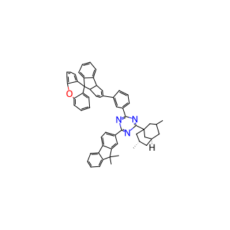 CC1C[C@H]2C[C@H](C)CC(c3nc(-c4cccc(C5=CC6c7ccccc7C7(c8ccccc8Oc8ccccc87)C6C=C5)c4)nc(-c4ccc5c(c4)C(C)(C)c4ccccc4-5)n3)(C1)C2